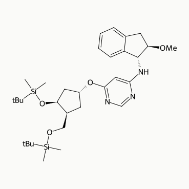 CO[C@@H]1Cc2ccccc2[C@H]1Nc1cc(O[C@@H]2C[C@@H](CO[Si](C)(C)C(C)(C)C)[C@@H](O[Si](C)(C)C(C)(C)C)C2)ncn1